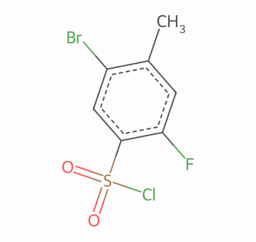 Cc1cc(F)c(S(=O)(=O)Cl)cc1Br